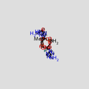 B[P@]1(=O)OCC2OC(n3cnc4c(N)ncnc43)C(F)C2OP(=O)(O)OCC2OC(n3cnc4c(=O)[nH]c(N)nc43)C(O1)C2OC